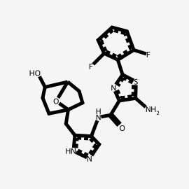 Nc1sc(-c2c(F)cccc2F)nc1C(=O)Nc1cn[nH]c1CC12CCC(O)C(CC1)O2